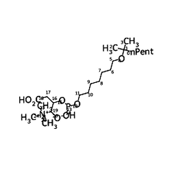 CCCCCC(C)(C)OCCCCCCCOP(O)OC(CC(=O)O)C([O-])[N+](C)(C)C